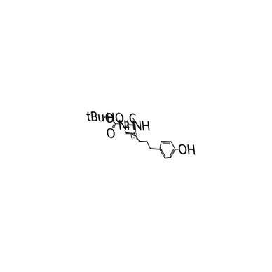 CC(C)(C)OC(=O)NC[C@H](CCCc1ccc(O)cc1)NC(=O)O